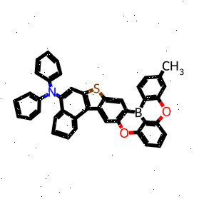 Cc1ccc2c(c1)Oc1cccc3c1B2c1cc2sc4cc(N(c5ccccc5)c5ccccc5)c5ccccc5c4c2cc1O3